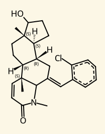 CN1C(=O)C=C[C@@]2(C)C1C(=Cc1ccccc1Cl)C[C@@H]1[C@H]2CC[C@]2(C)C(O)CC[C@@H]12